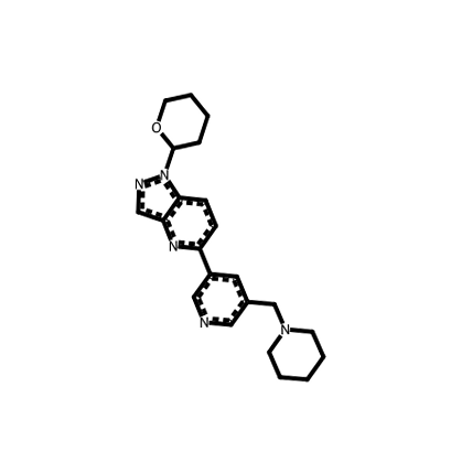 c1ncc(-c2ccc3c(cnn3C3CCCCO3)n2)cc1CN1CCCCC1